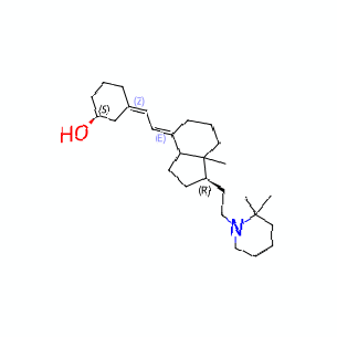 CC12CCC/C(=C\C=C3\CCC[C@H](O)C3)C1CC[C@@H]2CCN1CCCCC1(C)C